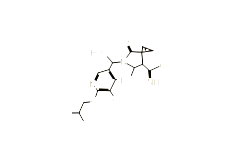 CC(c1cnc(OCC(F)F)c(Cl)c1)N1C(=O)C2(C=C2)C(C(=N)Cl)C1C